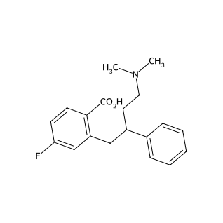 CN(C)CCC(Cc1cc(F)ccc1C(=O)O)c1ccccc1